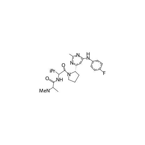 CNC(C)C(=O)NC(C(=O)N1CCC[C@H]1c1cc(Nc2ccc(F)cc2)nc(C)n1)C(C)C